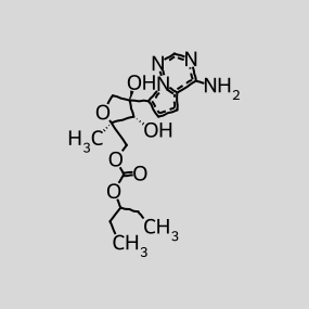 CCC(CC)OC(=O)OC[C@@]1(C)OC[C@](O)(c2ccc3c(N)ncnn23)[C@@H]1O